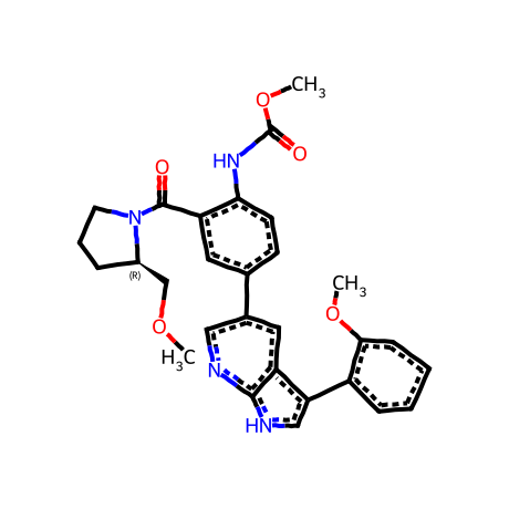 COC[C@H]1CCCN1C(=O)c1cc(-c2cnc3[nH]cc(-c4ccccc4OC)c3c2)ccc1NC(=O)OC